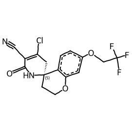 N#CC1=C(Cl)C[C@]2(CCOc3cc(OCC(F)(F)F)ccc32)NC1=O